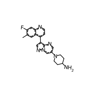 Cc1cc2c(-c3cnn4cc(N5CCC(N)CC5)cnc34)ccnc2cc1F